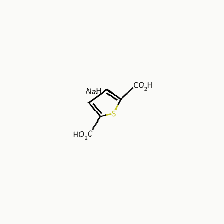 O=C(O)c1ccc(C(=O)O)s1.[NaH]